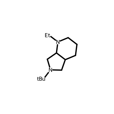 CCN1CCCC2CN(C(C)(C)C)CC21